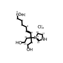 CCCCCCCCCCCCCCC=CC(CCO)(CCO)[N+]1=CNCC1.[Cl-]